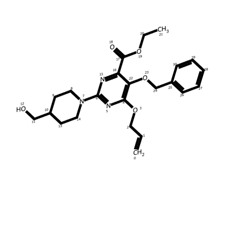 C=CCOc1nc(N2CCC(CO)CC2)nc(C(=O)OCC)c1OCc1ccccc1